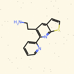 NCCc1cc2ccsc2nc1-c1ccccn1